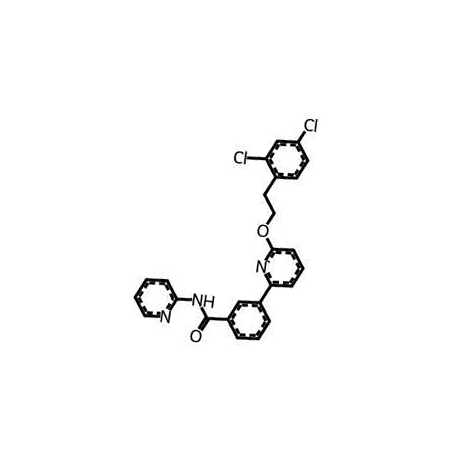 O=C(Nc1ccccn1)c1cccc(-c2cccc(OCCc3ccc(Cl)cc3Cl)n2)c1